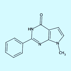 Cn1ccc2c(=O)[nH]c(-c3ccccc3)nc21